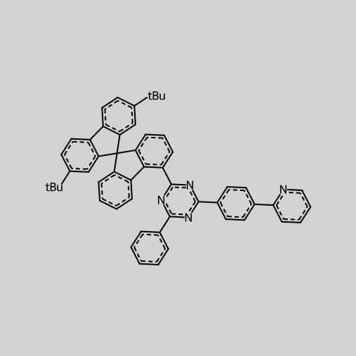 CC(C)(C)c1ccc2c(c1)C1(c3cc(C(C)(C)C)ccc3-2)c2ccccc2-c2c(-c3nc(-c4ccccc4)nc(-c4ccc(-c5ccccn5)cc4)n3)cccc21